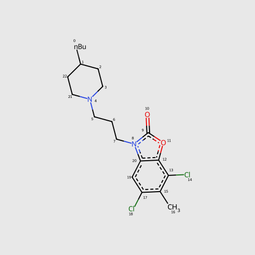 CCCCC1CCN(CCCn2c(=O)oc3c(Cl)c(C)c(Cl)cc32)CC1